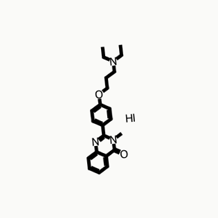 CCN(CC)CCCOc1ccc(-c2nc3ccccc3c(=O)n2C)cc1.I